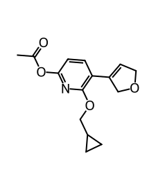 CC(=O)Oc1ccc(C2=CCOC2)c(OCC2CC2)n1